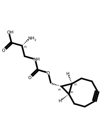 N[C@H](CNC(=O)OC[C@H]1[C@@H]2CCC#CCC[C@@H]21)C(=O)O